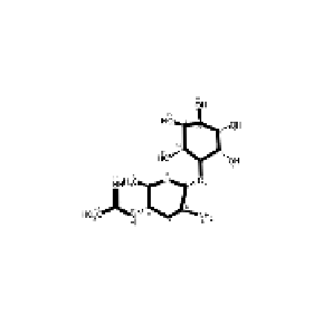 C[C@H]1O[C@H](OC2[C@@H](O)[C@@H](O)[C@H](O)[C@H](O)[C@H]2O)[C@@H](N)C[C@@H]1NC(=N)C(=O)O